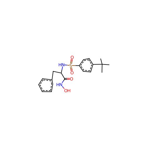 CC(C)(C)c1ccc(S(=O)(=O)NC(Cc2ccccc2)C(=O)NO)cc1